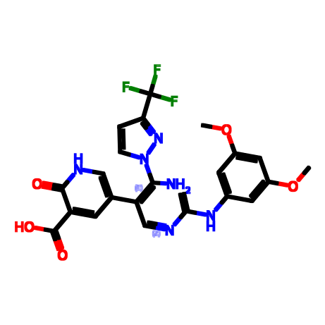 C=C(/N=C\C(=C(/N)n1ccc(C(F)(F)F)n1)c1c[nH]c(=O)c(C(=O)O)c1)Nc1cc(OC)cc(OC)c1